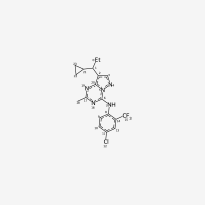 CCC(c1cnn2c(Nc3ccc(Cl)cc3C(F)(F)F)nc(C)nc12)C1CC1